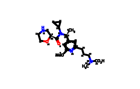 COc1cc([C@@H](C)N(C(=O)[C@H]2CNCCO2)C2CC2)cc(CCCN(C)C(=O)O)n1